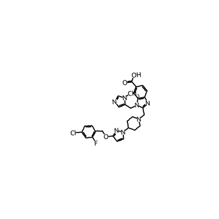 Cn1cncc1Cn1c(CN2CCC(n3ccc(OCc4ccc(Cl)cc4F)n3)CC2)nc2ccc(C(=O)O)cc21